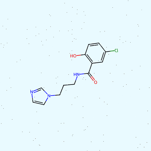 O=C(NCCCn1ccnc1)c1cc(Cl)ccc1O